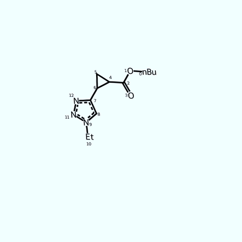 CCCCOC(=O)C1CC1c1cn(CC)nn1